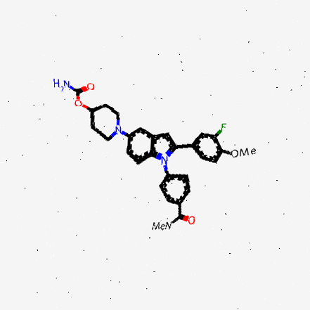 CNC(=O)c1ccc(-n2c(-c3ccc(OC)c(F)c3)cc3cc(N4CCC(OC(N)=O)CC4)ccc32)cc1